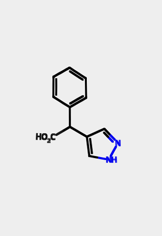 O=C(O)C(c1ccccc1)c1cn[nH]c1